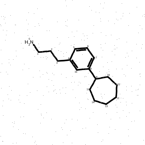 NCCCc1cccc(C2CCCCCC2)c1